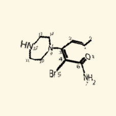 C/C=C/C(=C(/Br)C(N)=O)N1CCNCC1